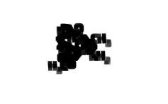 Cc1cc(N)nc(C)c1CNC(=O)c1ccnc(Cc2cnc3c(S(C)(=O)=O)cccc3c2)c1